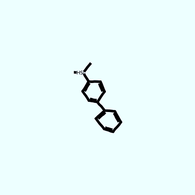 C[SiH](C)c1ccc(-c2ccccc2)cc1